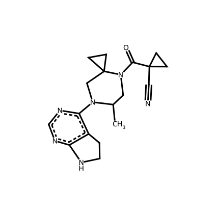 CC1CN(C(=O)C2(C#N)CC2)C2(CC2)CN1c1ncnc2c1CCN2